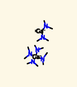 C[N](C)[Ga-]([N](C)C)([N](C)C)[N](C)C.C[N](C)[Ga-][N](C)C